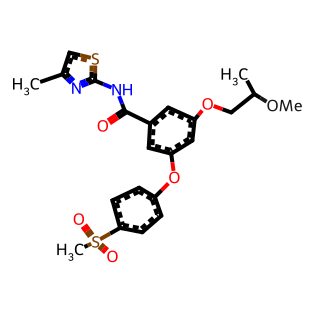 COC(C)COc1cc(Oc2ccc(S(C)(=O)=O)cc2)cc(C(=O)Nc2nc(C)cs2)c1